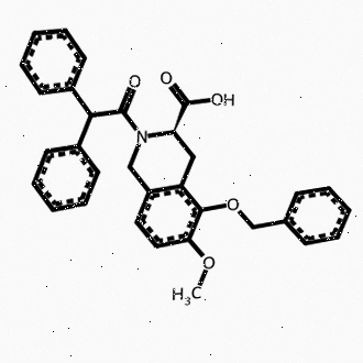 COc1ccc2c(c1OCc1ccccc1)C[C@H](C(=O)O)N(C(=O)C(c1ccccc1)c1ccccc1)C2